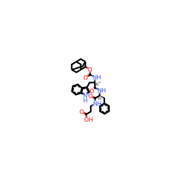 C[C@](Cc1c[nH]c2ccccc12)(NC(=O)OC1C2CC3CC(C2)CC1C3)C(=O)N[C@@H](Cc1ccccc1)C(=O)NCCC(=O)O